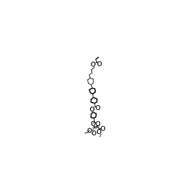 C=CC(=O)OCCCCC1CCC(c2ccc(-c3ccc(C(=O)Oc4ccc(C5O[C@@H](C(=O)OCC)[C@H](C(=O)OCC)O5)cc4)cc3)cc2)CC1